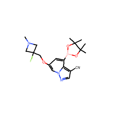 CN1CC(F)(COc2cc(B3OC(C)(C)C(C)(C)O3)c3c(C#N)cnn3c2)C1